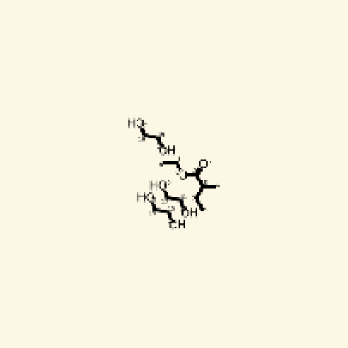 CCOC(=O)C(C)CC.OCCO.OCCO.OCCO